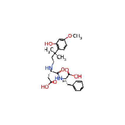 COc1ccc(C(C)(C)CCN[C@@H](CC(=O)O)C(=O)N[C@@H](Cc2ccccc2)C(=O)O)c(O)c1